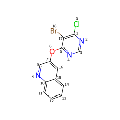 Clc1ncnc(Oc2cnc3ccccc3c2)c1Br